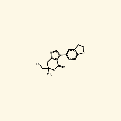 CC1(CO)Cc2ncn(-c3ccc4c(c3)CCO4)c2C(=O)O1